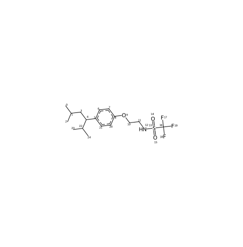 CC(C)CC(c1ccc(OCCNS(=O)(=O)C(F)(F)F)cc1)C(C)C